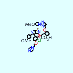 COc1cccc(-c2ncc3snc(O[C@H](Cc4ccccc4OCc4ccnc(N5CCC(OC)CC5)n4)C(=O)O)c3c2-c2ccc(OCCN3CCN(C)CC3)c(Cl)c2C)c1